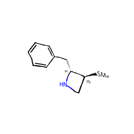 CS[C@H]1CN[C@@H]1Cc1ccccc1